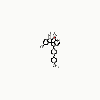 CCOc1ncccc1C1(CC(=O)N2CCN(C3CCN(C)CC3)CC2)C(=O)Nc2ccc(Cl)cc21